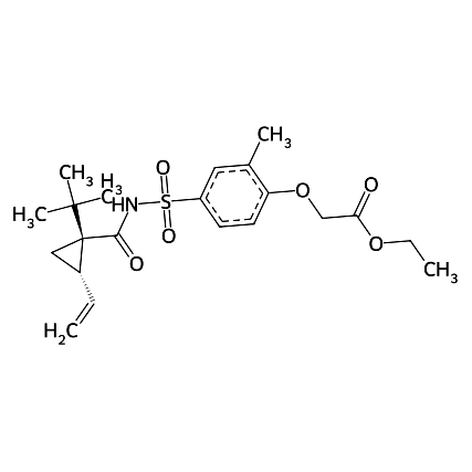 C=C[C@@H]1C[C@@]1(C(=O)NS(=O)(=O)c1ccc(OCC(=O)OCC)c(C)c1)C(C)(C)C